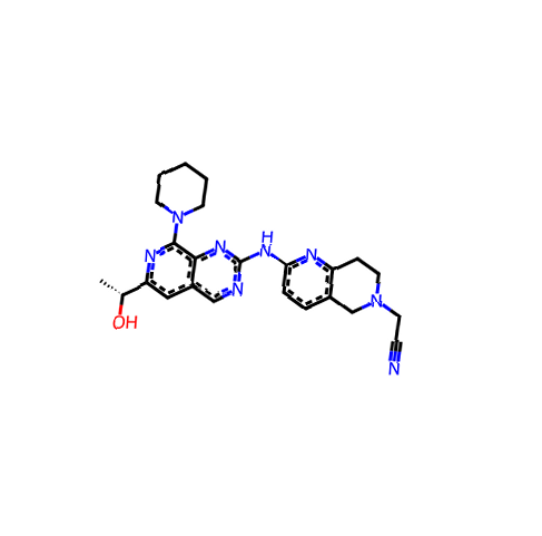 C[C@@H](O)c1cc2cnc(Nc3ccc4c(n3)CCN(CC#N)C4)nc2c(N2CCCCC2)n1